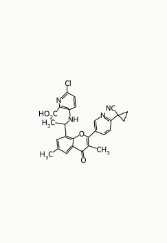 Cc1cc(C(C)Nc2ccc(Cl)nc2C(=O)O)c2oc(-c3ccc(C4(C#N)CC4)nc3)c(C)c(=O)c2c1